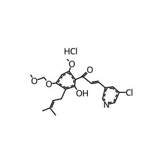 COCOc1cc(OC)c(C(=O)C=Cc2cncc(Cl)c2)c(O)c1CC=C(C)C.Cl